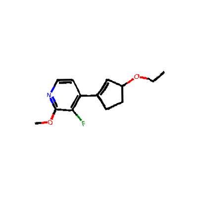 CCOC1C=C(c2ccnc(OC)c2F)CC1